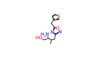 CC(Cc1noc(Cc2ccsc2)n1)C(N)CO